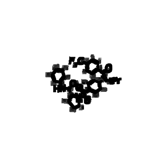 CC(C)N(C(=O)c1ccc(C(F)(F)F)cc1)c1ccc(S(=O)(=O)N2CCC[C@H]2C(=O)Nc2ccccc2)cc1